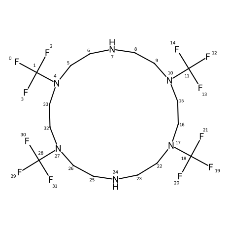 FC(F)(F)N1CCNCCN(C(F)(F)F)CCN(C(F)(F)F)CCNCCN(C(F)(F)F)CC1